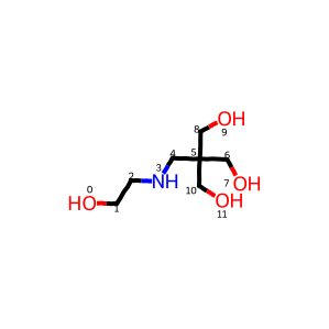 OCCNCC(CO)(CO)CO